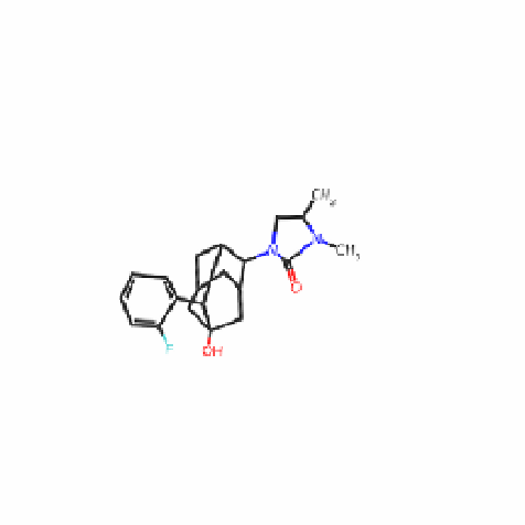 CC1CN(C2C3CC4CC2C(c2ccccc2F)C(O)(C4)C3)C(=O)N1C